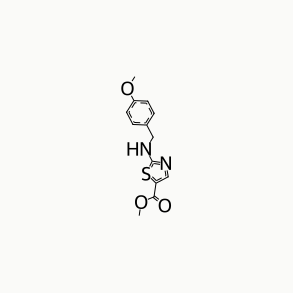 COC(=O)c1cnc(NCc2ccc(OC)cc2)s1